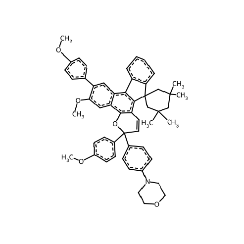 COc1ccc(-c2cc3c4c(c5c(c3cc2OC)OC(c2ccc(OC)cc2)(c2ccc(N3CCOCC3)cc2)C=C5)C2(CC(C)(C)CC(C)(C)C2)c2ccccc2-4)cc1